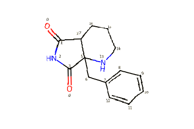 O=C1NC(=O)C2(Cc3ccccc3)NCCCC12